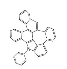 c1ccc(-n2c3cccc4c3c3c5c(cc6ccccc6c5c5ccccc5c32)-c2ccccc2-4)cc1